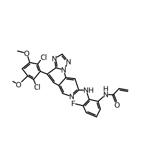 C=CC(=O)Nc1cccc(F)c1Nc1cc2c(cn1)cc(-c1c(Cl)c(OC)cc(OC)c1Cl)c1ncnn12